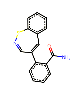 NC(=O)c1ccccc1C1=Cc2ccccc2SN=C1